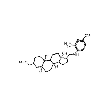 COC[C@H]1CC[C@@H]2C3CC[C@@]4(C)C(CC[C@@H]4CNc4ccc(C#N)cc4C)[C@@H]3CC[C@@H]2C1